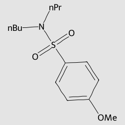 CCCCN(CCC)S(=O)(=O)c1ccc(OC)cc1